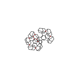 [c]1c(Oc2cc(C34CC5CC(CC(C5)C3)C4)c(C34CC5CC(CC(C5)C3)C4)c(C34CC5CC(CC(C5)C3)C4)c2C23CC4CC(CC(C4)C2)C3)c(C23CC4CC(CC(C4)C2)C3)c(C23CC4CC(CC(C4)C2)C3)c(C23CC4CC(CC(C4)C2)C3)c1C12CC3CC(CC(C3)C1)C2